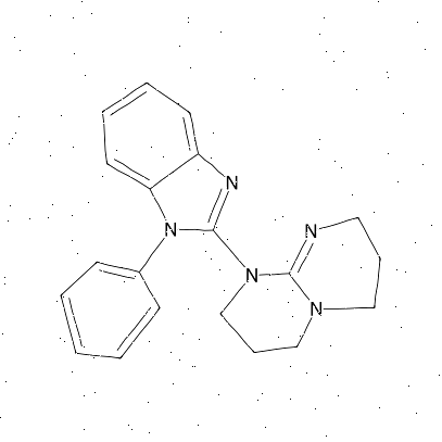 c1ccc(-n2c(N3CCCN4CCCN=C43)nc3ccccc32)cc1